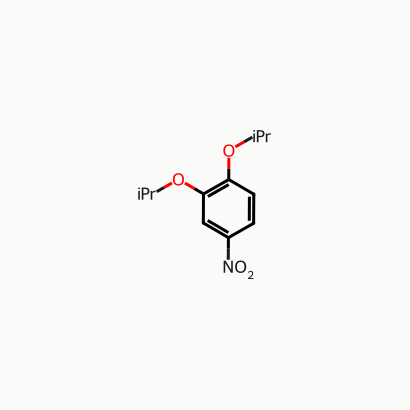 CC(C)Oc1ccc([N+](=O)[O-])cc1OC(C)C